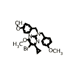 COc1ccc(CN(Cc2ccc(OC)cc2)c2nc(OC)c(Br)c(C3CC3)n2)cc1